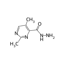 Cc1ncc(C)c(C(=O)NN)n1